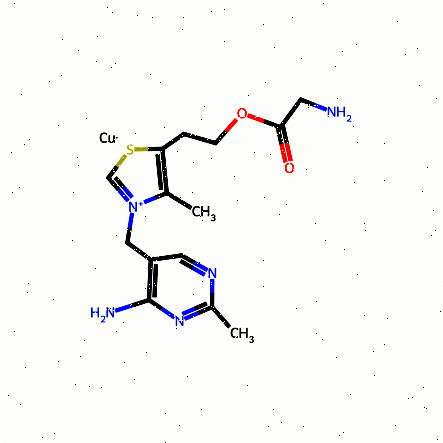 Cc1ncc(C[n+]2csc(CCOC(=O)CN)c2C)c(N)n1.[Cu]